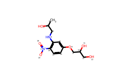 CC(O)CNc1cc(OCC(O)CO)ccc1[N+](=O)[O-]